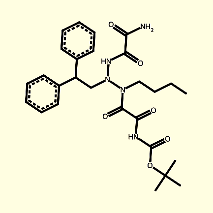 CCCCN(C(=O)C(=O)NC(=O)OC(C)(C)C)N(CC(c1ccccc1)c1ccccc1)NC(=O)C(N)=O